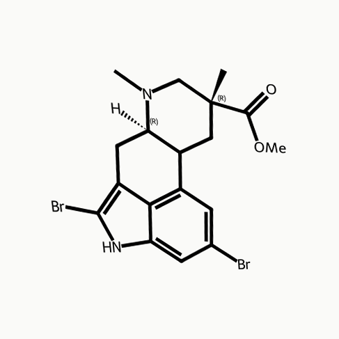 COC(=O)[C@]1(C)CC2c3cc(Br)cc4[nH]c(Br)c(c34)C[C@H]2N(C)C1